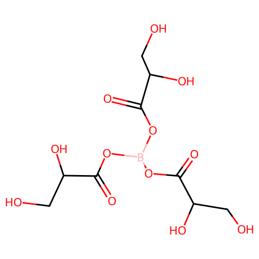 O=C(OB(OC(=O)C(O)CO)OC(=O)C(O)CO)C(O)CO